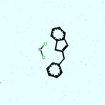 [CH]1C(Cc2ccccc2)=Cc2ccccc21.[Cl][Ti][Cl]